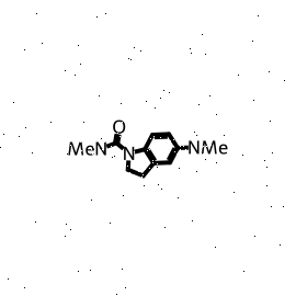 CNC(=O)N1CCc2cc(NC)ccc21